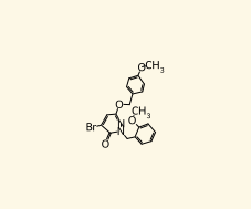 COc1ccc(COc2cc(Br)c(=O)n(Cc3ccccc3OC)n2)cc1